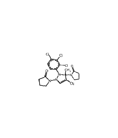 CC1(N2CCCC2=O)C(C#N)=CN(N2CCCC2=O)N1c1ccc(Cl)c(Cl)c1Cl